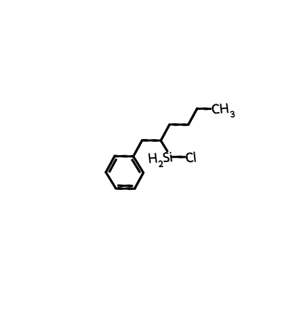 CCCCC(Cc1ccccc1)[SiH2]Cl